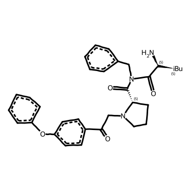 CC[C@H](C)[C@H](N)C(=O)N(Cc1ccccc1)C(=O)[C@@H]1CCCN1CC(=O)c1ccc(Oc2ccccc2)cc1